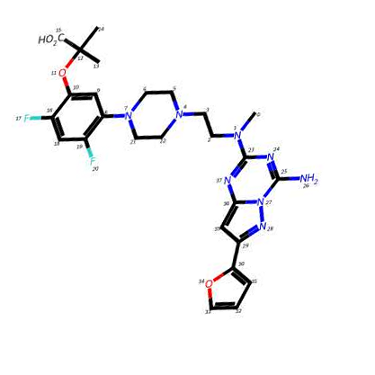 CN(CCN1CCN(c2cc(OC(C)(C)C(=O)O)c(F)cc2F)CC1)c1nc(N)n2nc(-c3ccco3)cc2n1